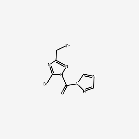 CC(C)Cc1nc(Br)n(C(=O)n2cncn2)n1